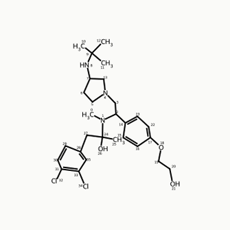 CN(C(CN1CCC(NC(C)(C)C)C1)c1ccc(OCCO)cc1)C(C)(O)Cc1ccc(Cl)c(Cl)c1